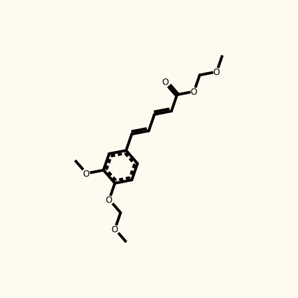 COCOC(=O)/C=C/C=C/c1ccc(OCOC)c(OC)c1